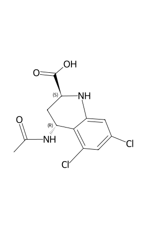 CC(=O)N[C@@H]1C[C@@H](C(=O)O)Nc2cc(Cl)cc(Cl)c21